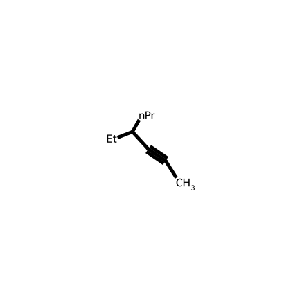 [CH2]CCC(C#CC)CC